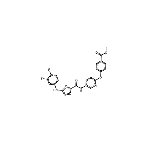 COC(=O)c1ccc(Oc2ccc(NC(=O)c3nnc(Nc4ccc(F)c(F)c4)o3)cn2)cc1